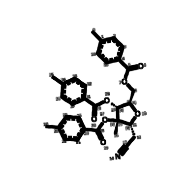 Cc1ccc(C(=O)OC[C@H]2O[C@H](CC#N)[C@](C)(OC(=O)c3ccc(C)cc3)[C@@H]2OC(=O)c2ccc(C)cc2)cc1